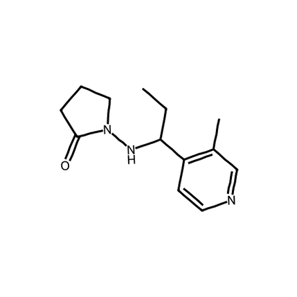 CCC(NN1CCCC1=O)c1ccncc1C